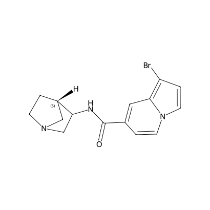 O=C(NC1CN2CC[C@H]1C2)c1ccn2ccc(Br)c2c1